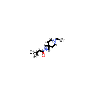 CCC(CC(=O)N1CC2(CCN(CC(C)C)CC2)C1)C(C)C